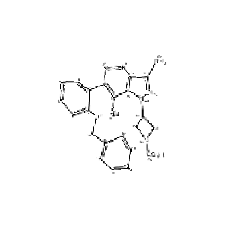 CC(C)(C)c1c(-c2ccccc2OCc2ccccc2)nnc2c(N)nn(C3CN(C(=O)O)C3)c12